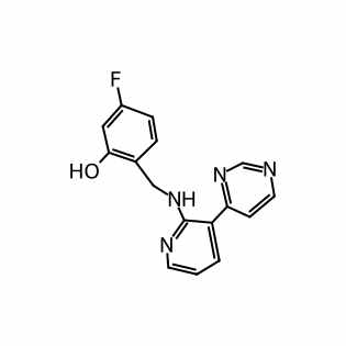 Oc1cc(F)ccc1CNc1ncccc1-c1ccncn1